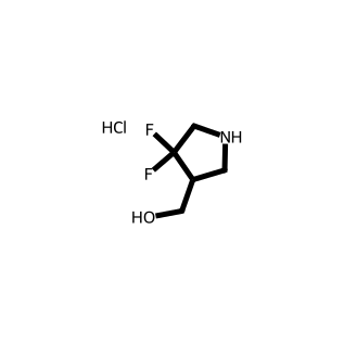 Cl.OCC1CNCC1(F)F